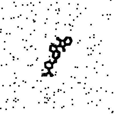 O=C(O)N1CCCC(Oc2ccc3c(N4C(=O)c5ccccc5C4=O)nccc3c2)C1